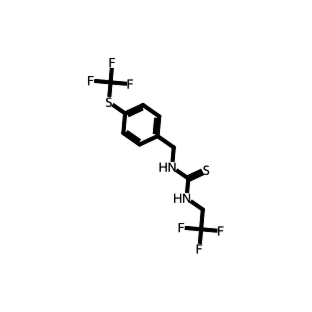 FC(F)(F)CNC(=S)NCc1ccc(SC(F)(F)F)cc1